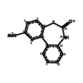 CNc1ncc2c(n1)-c1ccccc1NC(=O)C2